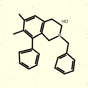 Cc1cc2c(c(-c3ccccc3)c1C)CN(Cc1ccccc1)CC2.Cl